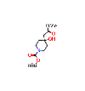 CCCCOC(=O)N1CCC(O)(CC(=O)OC)CC1